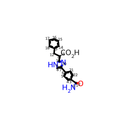 NC(=O)c1ccc(-c2c[nH]c(C(Cc3ccccc3)C(=O)O)n2)cc1